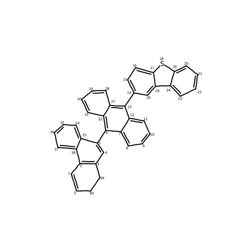 C1=Cc2c(cc(-c3c4ccccc4c(-c4ccc5sc6ccccc6c5c4)c4ccccc34)c3ccccc23)CC1